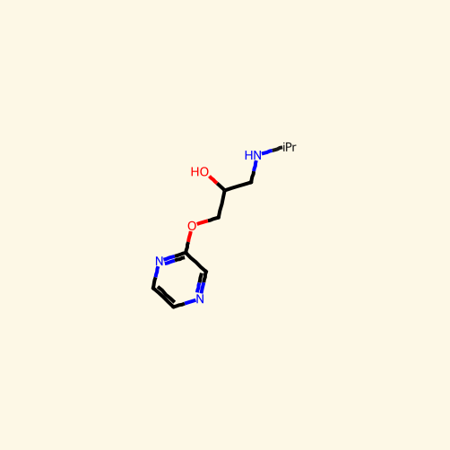 CC(C)NCC(O)COc1cnccn1